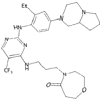 CCc1cc(N2CCN3CCCC3C2)ccc1Nc1ncc(C(F)(F)F)c(NCCCN2CCOCCC2=O)n1